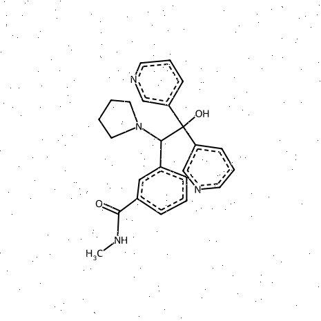 CNC(=O)c1cccc(C(N2CCCC2)C(O)(c2cccnc2)c2cccnc2)c1